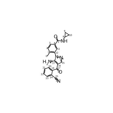 Cc1ccc(C(=O)NC2CC2)cc1-n1ncc(C(=O)c2ccccc2C#N)c1N